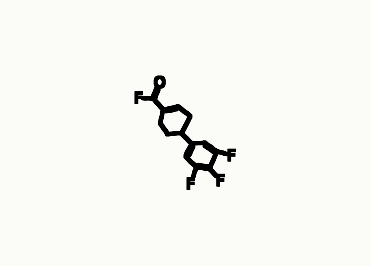 O=C(F)C1=CCC(c2cc(F)c(F)c(F)c2)CC1